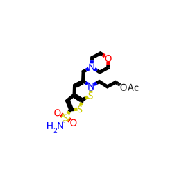 CC(=O)OCCCN1Sc2sc(S(N)(=O)=O)cc2C=C1CN1CCOCC1